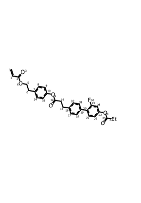 C=CC(=O)OCCc1ccc(OC(=O)CCc2ccc(-c3ccc(OC(=O)CC)cc3F)cc2)cc1